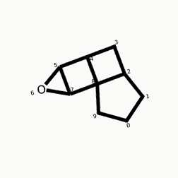 C1CC2CC3C4OC4C23C1